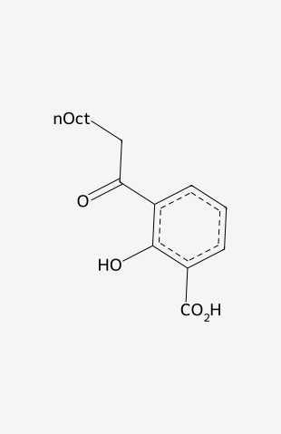 CCCCCCCCCC(=O)c1cccc(C(=O)O)c1O